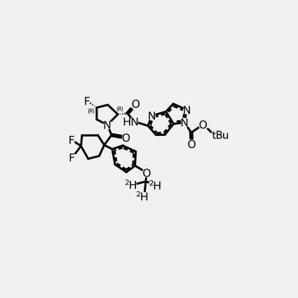 [2H]C([2H])([2H])Oc1ccc(C2(C(=O)N3C[C@H](F)C[C@@H]3C(=O)Nc3ccc4c(cnn4C(=O)OC(C)(C)C)n3)CCC(F)(F)CC2)cc1